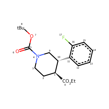 CCOC(=O)[C@H]1CCN(C(=O)OC(C)(C)C)C[C@@H]1c1ccccc1F